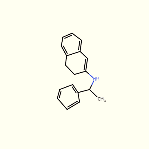 CC(NC1=Cc2ccccc2CC1)c1ccccc1